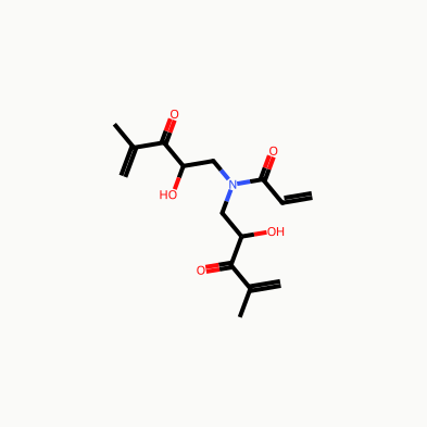 C=CC(=O)N(CC(O)C(=O)C(=C)C)CC(O)C(=O)C(=C)C